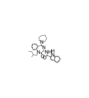 CCC(C)CN1C(=O)C(NC(=O)c2cc3ccccc3[nH]2)N=C(N2CCCCCC2)c2ccccc21